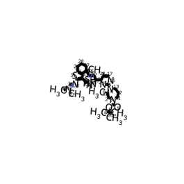 C[C@H]1CN(C(=O)OC(C)(C)C)CCCN1c1nccc(C(=N)/C=C(\S)[C@@]2(C)CCCc3sc(/N=C/N(C)C)c(C#N)c32)n1